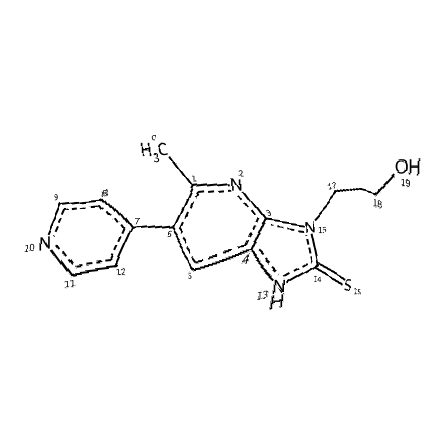 Cc1nc2c(cc1-c1ccncc1)[nH]c(=S)n2CCO